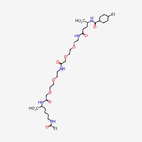 CCC(=O)NCCCCC(NC(=O)COCCOCCNC(=O)COCCOCCNC(=O)CCC(NC(=O)C1CCC(CC)CC1)C(=O)O)C(=O)O